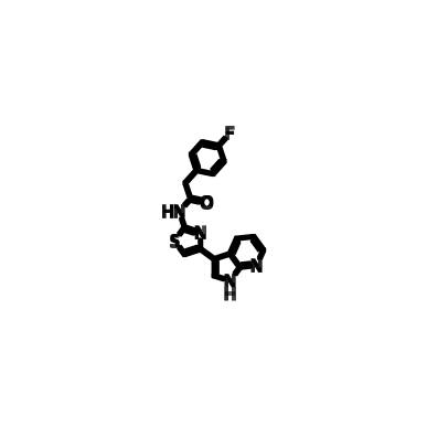 O=C(Cc1ccc(F)cc1)Nc1nc(-c2c[nH]c3ncccc23)cs1